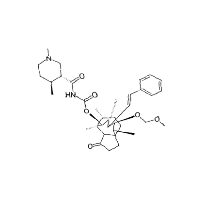 COCO[C@H]1[C@H](C)C23CCC(=O)C2[C@@](C)([C@H](C)CC3)[C@H](OC(=O)NC(=O)[C@H]2CN(C)CC[C@@H]2C)C[C@@]1(C)C=Cc1ccccc1